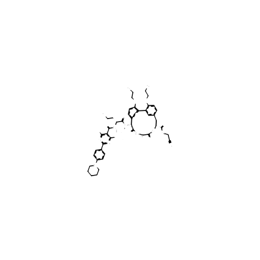 Cc1nc(-c2ccc(N3CCCCC3)cc2)nc(C)c1C(=O)N[C@@H](CCN)C(=O)N(C)[C@@H]1C(=O)N[C@@H](C)C(=O)N[C@H](C(=O)NCC#N)Cc2ccc(OCCN)c(c2)-c2cc1ccc2OCCN